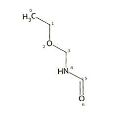 CCOCN[C]=O